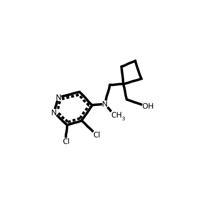 CN(CC1(CO)CCC1)c1cnnc(Cl)c1Cl